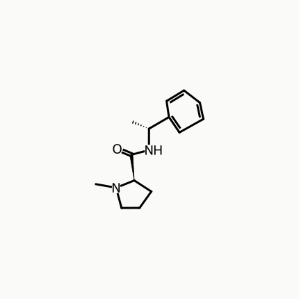 C[C@@H](NC(=O)[C@H]1CCCN1C)c1ccccc1